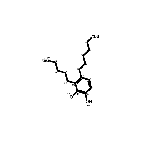 CC(C)(C)CCCCCc1ccc(O)c(O)c1CCCCC(C)(C)C